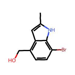 Cc1cc2c(CO)ccc(Br)c2[nH]1